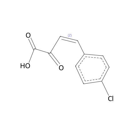 O=C(O)C(=O)/C=C\c1ccc(Cl)cc1